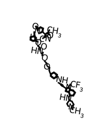 Cc1noc(C)c1-c1ccc(=O)n(Cc2cccc(OCC(=O)NCCOCCOCCc3ccc(NCC#Cc4cc5c(NC6CCN(C)CC6)cccc5n4CC(F)(F)F)cc3)c2)c1